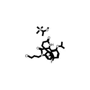 CC(C)Oc1ccc(F)c(F)c1C1NC(=O)CCC12C(=O)N(CCCCl)c1ccccc12.COC(C)[Si](C)(C)C